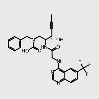 CC#C[C@H](O)C(CN(Cc1ccccc1)C(=O)O)NC(=O)CNc1ncnc2ccc(C(F)(F)F)cc12